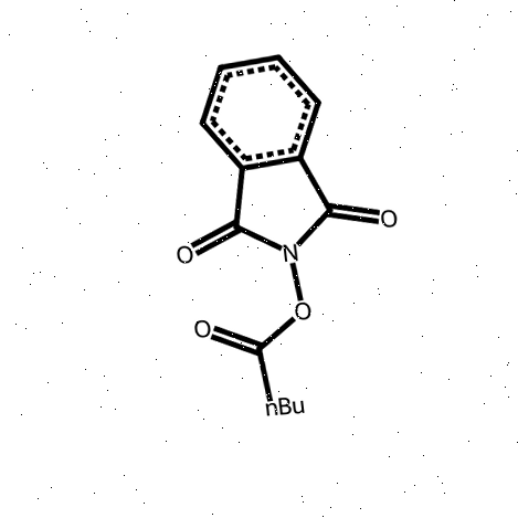 CCCCC(=O)ON1C(=O)c2ccccc2C1=O